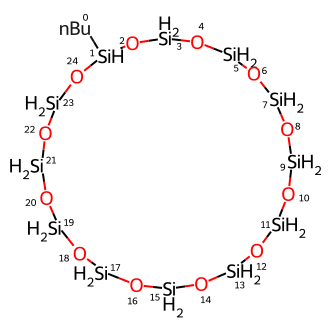 CCCC[SiH]1O[SiH2]O[SiH2]O[SiH2]O[SiH2]O[SiH2]O[SiH2]O[SiH2]O[SiH2]O[SiH2]O[SiH2]O[SiH2]O1